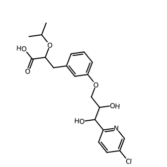 CC(C)OC(Cc1cccc(OCC(O)C(O)c2ccc(Cl)cn2)c1)C(=O)O